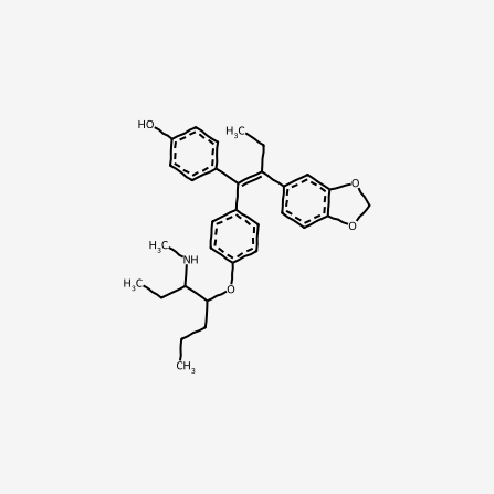 CCCC(Oc1ccc(C(=C(CC)c2ccc3c(c2)OCO3)c2ccc(O)cc2)cc1)C(CC)NC